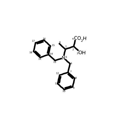 CC(C(O)C(=O)O)N(Cc1ccccc1)Cc1ccccc1